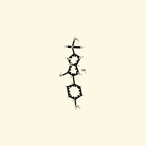 Br.NS(=O)(=O)c1nn2c(Br)c(-c3ccc([N+](=O)[O-])cc3)nc2s1